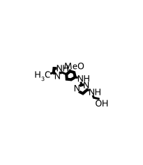 COc1cc(Nc2nccc(NCCO)n2)ccc1-c1nc(C)c[nH]1